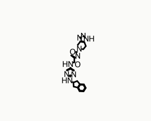 O=C(Nc1cnc(NC2Cc3ccccc3C2)nc1)c1coc(N2CCc3[nH]nnc3C2)n1